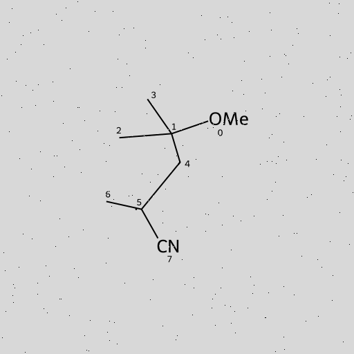 COC(C)(C)C[C](C)C#N